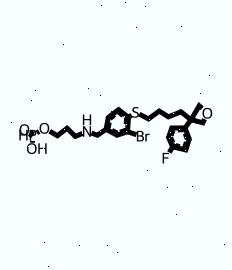 O=[PH](O)OCCCNCc1ccc(SCCCCC2(c3ccc(F)cc3)COC2)c(Br)c1